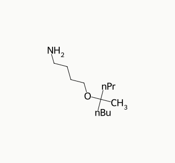 CCCCC(C)(CCC)OCCCCN